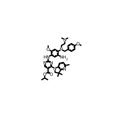 COc1ccc(CN(CCN(C)C)c2cc(OC)c(Nc3ncc(C(=O)OC(C)C)c(N4CC(C)(C)c5nc(C)ccc54)n3)cc2N)cc1